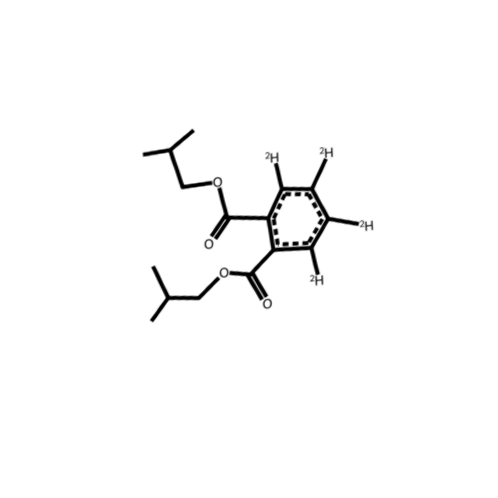 [2H]c1c([2H])c([2H])c(C(=O)OCC(C)C)c(C(=O)OCC(C)C)c1[2H]